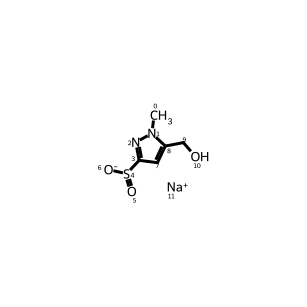 Cn1nc(S(=O)[O-])cc1CO.[Na+]